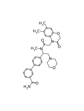 Cc1cc2c(cc1C)N(CC(=O)N(C)C(CN1CCOCC1)c1ccc(-c3cccc(C(N)=O)c3)cc1)C(=O)CO2